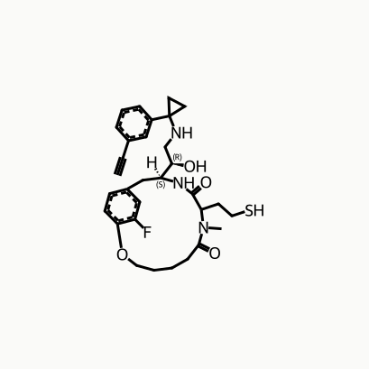 C#Cc1cccc(C2(NC[C@@H](O)[C@@H]3Cc4ccc(c(F)c4)OCCCCC(=O)N(C)C(CCS)C(=O)N3)CC2)c1